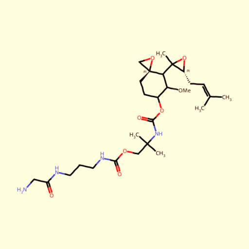 COC1C(OC(=O)NC(C)(C)COC(=O)NCCCNC(=O)CN)CC[C@]2(CO2)C1C1(C)O[C@@H]1CC=C(C)C